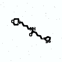 O=C(CCCC[C@@H]1CCSS1)NCCCCN1CCOCC1